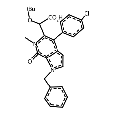 Cn1c(C(OC(C)(C)C)C(=O)O)c(-c2ccc(Cl)cc2)c2ccn(Cc3ccccc3)c2c1=O